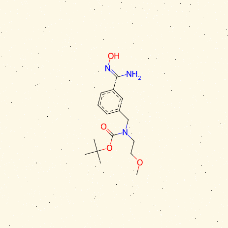 COCCN(Cc1cccc(/C(N)=N/O)c1)C(=O)OC(C)(C)C